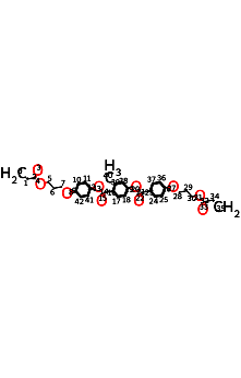 C=CC(=O)OCCCOc1ccc(OC(=O)c2ccc(OC(=O)c3ccc(OCCCOC(=O)C=C)cc3)cc2C)cc1